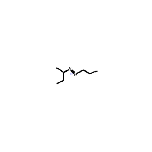 CCC/N=N/C(C)CC